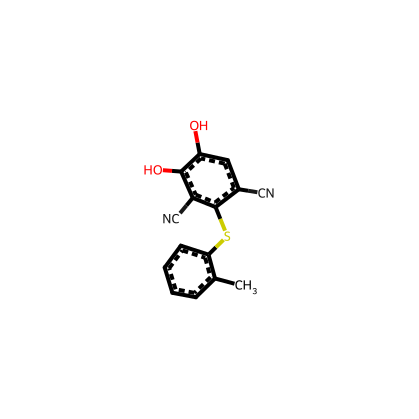 Cc1ccccc1Sc1c(C#N)cc(O)c(O)c1C#N